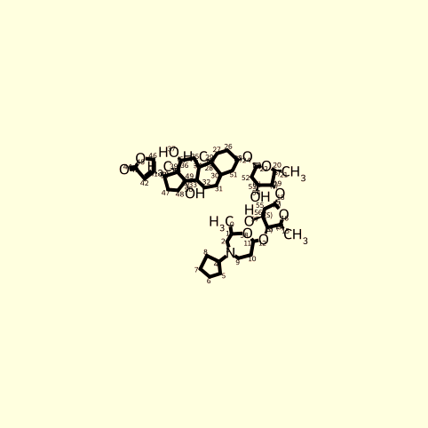 CC1CN(C2CCCC2)CCC(O[C@@H]2[C@H](C)O[C@@H](O[C@@H]3[C@H](C)O[C@@H](O[C@H]4CC[C@@]5(C)C(CCC6C5C[C@H](O)[C@]5(C)[C@@H](C7=CC(=O)OC7)CC[C@]65O)C4)C[C@@H]3O)C[C@@H]2O)O1